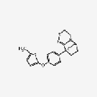 Cc1ccc(Oc2ccc(C34CCC(CC3)N3CCSN=C34)cc2)s1